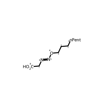 CCCCCCCCON=NCC(=O)O